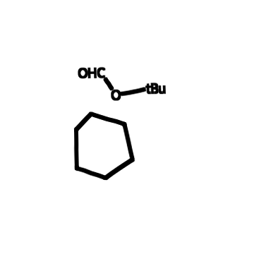 C1CCCCC1.CC(C)(C)OC=O